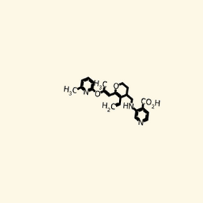 C=CC1=C(/C=C(\C)Oc2cccc(C)n2)OCCC1CNc1cnccc1C(=O)O